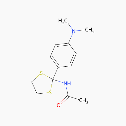 CC(=O)NC1(c2ccc(N(C)C)cc2)SCCS1